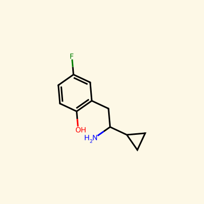 NC(Cc1cc(F)ccc1O)C1CC1